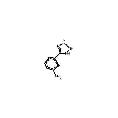 Nc1cccc(C2=NNNN2)c1